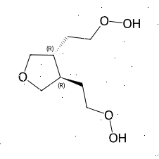 OOCC[C@H]1COC[C@@H]1CCOO